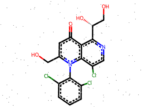 O=c1cc(CO)n(-c2c(Cl)cccc2Cl)c2c(Cl)cnc([C@H](O)CO)c12